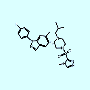 Cc1cc2c(cnn2-c2ccc(F)cc2)cc1[C@H]1CN(S(=O)(=O)c2nncn2C)CCN1CC(C)C